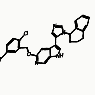 Clc1ccc(Cl)c(COc2cc3c(-c4cncn4C4CCCc5ccccc54)c[nH]c3cn2)c1